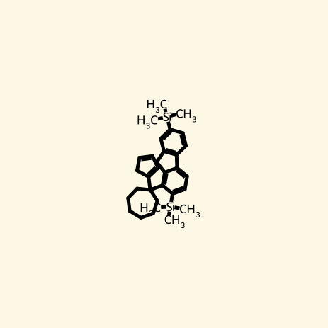 C[Si](C)(C)c1ccc2c(c1)Cc1c-2ccc([Si](C)(C)C)c1C1(C2=CC=CC2)CCCCCC1